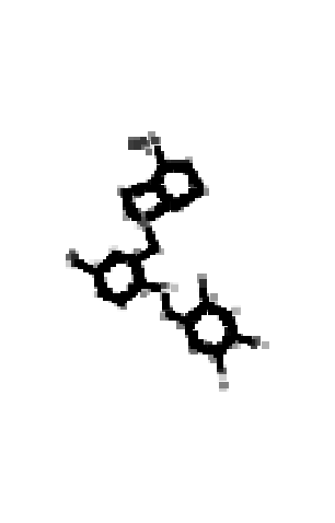 O=C(O)c1cccc2c1ccn2Cc1cc(Cl)ccc1OCc1cc(F)c(F)cc1F